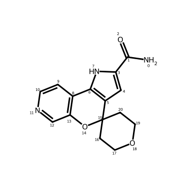 NC(=O)c1cc2c([nH]1)-c1ccncc1OC21CCOCC1